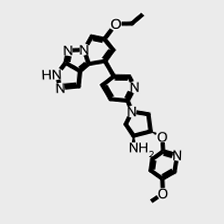 CCOc1cc(-c2ccc(N3C[C@H](Oc4ccc(OC)cn4)[C@@H](N)C3)nc2)c2c3cn[nH]c3nn2c1